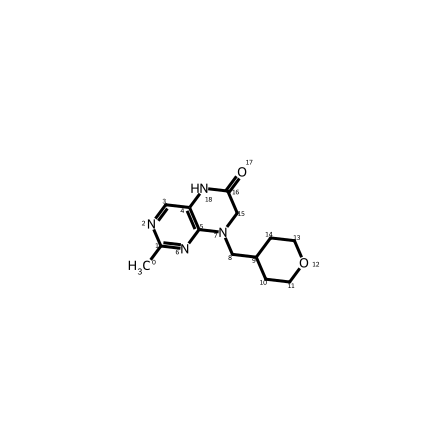 Cc1ncc2c(n1)N(CC1CCOCC1)CC(=O)N2